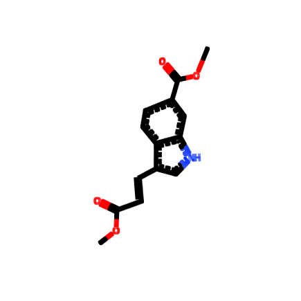 COC(=O)C=Cc1c[nH]c2cc(C(=O)OC)ccc12